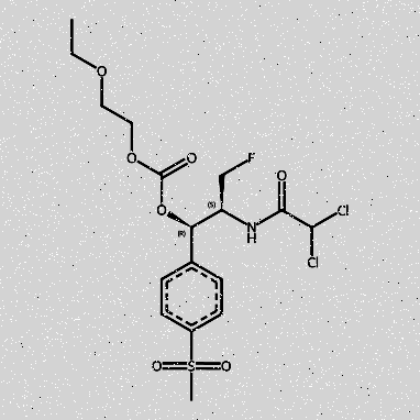 CCOCCOC(=O)O[C@H](c1ccc(S(C)(=O)=O)cc1)[C@@H](CF)NC(=O)C(Cl)Cl